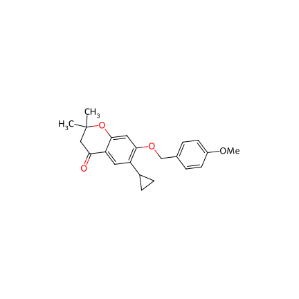 COc1ccc(COc2cc3c(cc2C2CC2)C(=O)CC(C)(C)O3)cc1